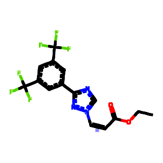 CCOC(=O)/C=C\n1cnc(-c2cc(C(F)(F)F)cc(C(F)(F)F)c2)n1